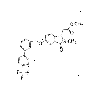 COC(=O)CC1c2ccc(OCc3cccc(-c4ccc(C(F)(F)F)cc4)c3)cc2C(=O)N1C